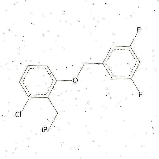 CC(C)Cc1c(Cl)cccc1OCc1cc(F)cc(F)c1